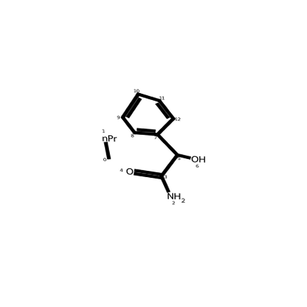 CCCC.NC(=O)C(O)c1ccccc1